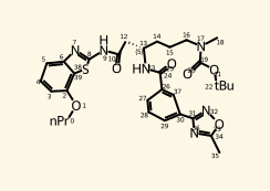 CCCOc1cccc2nc(NC(=O)C[C@H](CCCN(C)C(=O)OC(C)(C)C)NC(=O)c3cccc(-c4noc(C)n4)c3)sc12